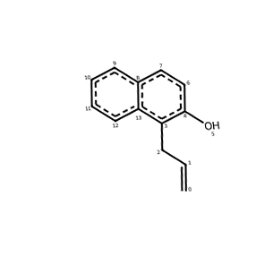 C=CCc1c(O)ccc2ccccc12